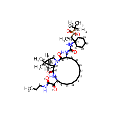 CCCNC(=O)C(=O)[C@@H]1CCCCCCCCC[C@H](NC(=O)NC2([C@@H](C)S(=O)(=O)C(C)(C)C)CCCCC2)C(=O)N2C[C@H]3[C@@H]([C@H]2C(=O)N1)C3(C)C